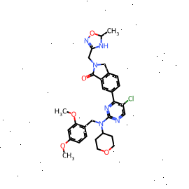 COc1ccc(CN(c2ncc(Cl)c(-c3ccc4c(c3)C(=O)N(CC3=NOC(C)N3)C4)n2)C2CCOCC2)c(OC)c1